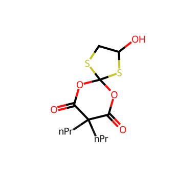 CCCC1(CCC)C(=O)OC2(OC1=O)SCC(O)S2